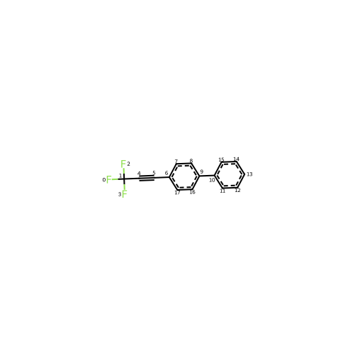 FC(F)(F)C#Cc1ccc(-c2ccccc2)cc1